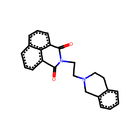 O=C1c2cccc3cccc(c23)C(=O)N1CCN1CCc2ccccc2C1